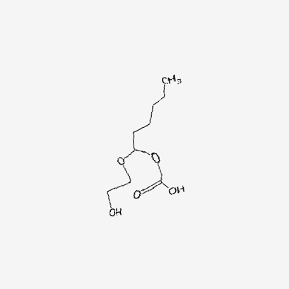 CCCCCC(OCCO)OC(=O)O